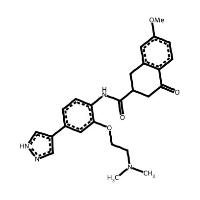 COc1ccc2c(c1)CC(C(=O)Nc1ccc(-c3cn[nH]c3)cc1OCCN(C)C)CC2=O